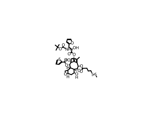 CSSCCCC(=O)O[C@H]1C(=O)[C@@]2(C)[C@H]([C@H](OC(=O)c3cccs3)[C@]3(O)C[C@H](OC(=O)[C@H](O)[C@@H](NC(=O)OC(C)(C)C)c4ccco4)C(C)=C1C3(C)C)[C@]1(C)CO[C@@H]1C[C@@H]2O